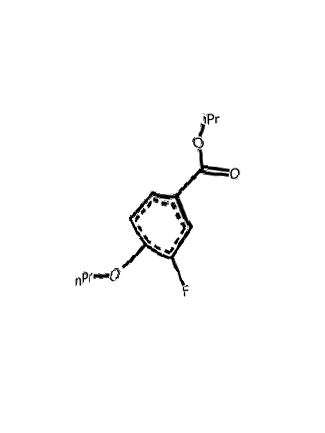 CCCOc1ccc(C(=O)OC(C)C)cc1F